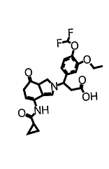 CCOc1cc(C(CC(=O)O)N2C=C3C(NC(=O)C4CC4)=CCC(=O)C3C2)ccc1OC(F)F